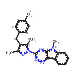 Cc1nn(-c2nnc3c4ccccc4n(C)c3n2)c(C)c1Cc1ccc(C(F)(F)F)cc1